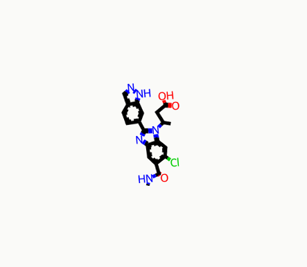 CNC(=O)c1cc2nc(-c3ccc4cn[nH]c4c3)n(C(C)CC(=O)O)c2cc1Cl